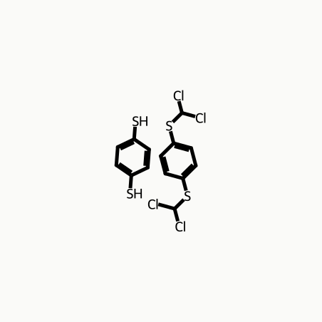 ClC(Cl)Sc1ccc(SC(Cl)Cl)cc1.Sc1ccc(S)cc1